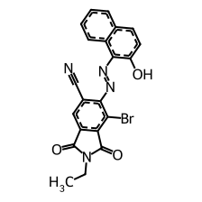 CCN1C(=O)c2cc(C#N)c(/N=N/c3c(O)ccc4ccccc34)c(Br)c2C1=O